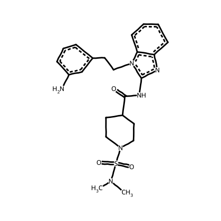 CN(C)S(=O)(=O)N1CCC(C(=O)Nc2nc3ccccc3n2CCc2cccc(N)c2)CC1